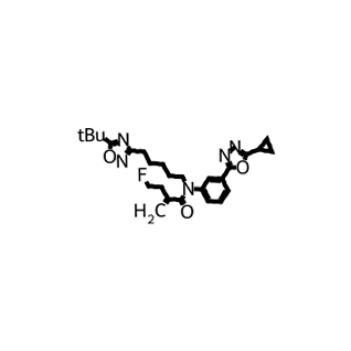 C=C(CCF)C(=O)N(CCCCCc1noc(C(C)(C)C)n1)c1cccc(-c2nnc(C3CC3)o2)c1